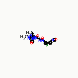 CCc1nc2c(cnn2CC)c(NC2CCOCC2)c1CNC(=O)CCCC(=O)NCc1ccc(F)c(-c2cccc(CN3CCOCC3)c2)c1